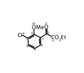 CCOC(=O)C(=O)c1cccc(Cl)c1OC